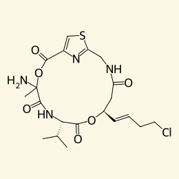 CC(C)[C@@H]1NC(=O)C(C)(N)OC(=O)c2csc(n2)CNC(=O)C[C@@H](/C=C/CCCl)OC1=O